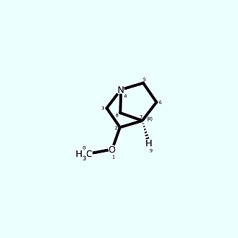 COC1CN2CC[C@@H]1C2